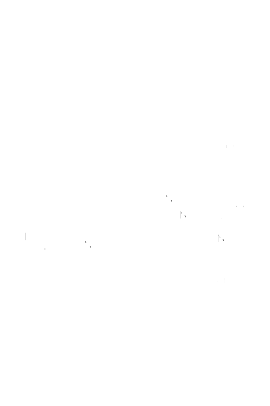 O=C(c1nn(-c2cccc(CN3CCC(F)(F)CC3)c2)c2c1CS(=O)(=O)c1ccccc1-2)N1CCOCC1